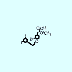 CCO[C@@H](Cc1ccc(OC/C=C\C#Cc2cc(I)cc(I)c2)c(Br)c1)C(=O)O